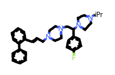 CC(C)N1CCN(C(CN2CCN(C/C=C/c3ccccc3-c3ccccc3)CC2)c2ccc(F)cc2)CC1